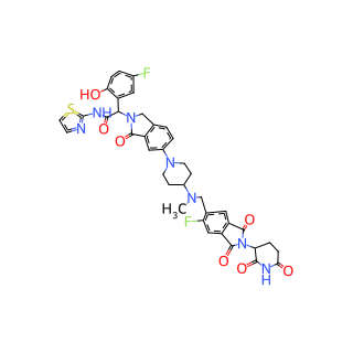 CN(Cc1cc2c(cc1F)C(=O)N(C1CCC(=O)NC1=O)C2=O)C1CCN(c2ccc3c(c2)C(=O)N(C(C(=O)Nc2nccs2)c2cc(F)ccc2O)C3)CC1